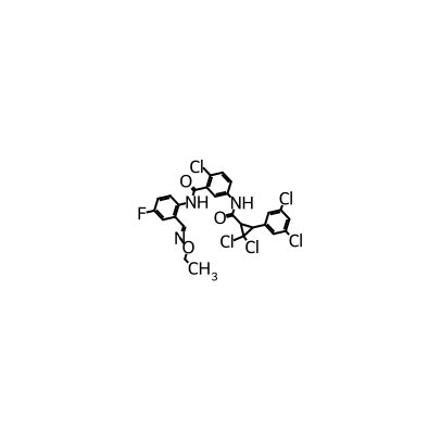 CCO/N=C/c1cc(F)ccc1NC(=O)c1cc(NC(=O)C2C(c3cc(Cl)cc(Cl)c3)C2(Cl)Cl)ccc1Cl